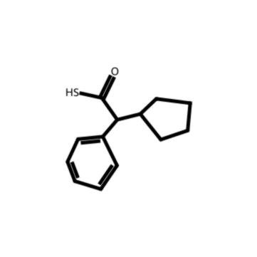 O=C(S)C(c1ccccc1)C1CCCC1